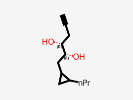 C#CC[C@@H](O)[C@H](O)CC1CC1CCC